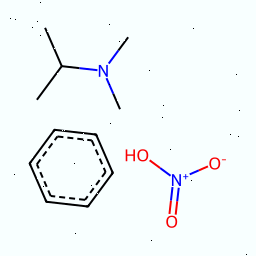 CC(C)N(C)C.O=[N+]([O-])O.c1ccccc1